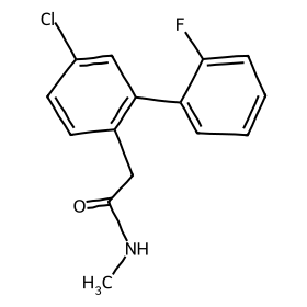 CNC(=O)Cc1ccc(Cl)cc1-c1ccccc1F